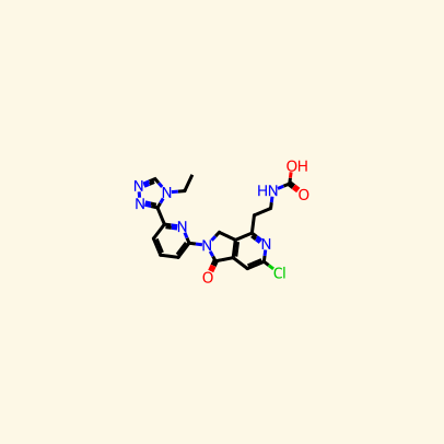 CCn1cnnc1-c1cccc(N2Cc3c(cc(Cl)nc3CCNC(=O)O)C2=O)n1